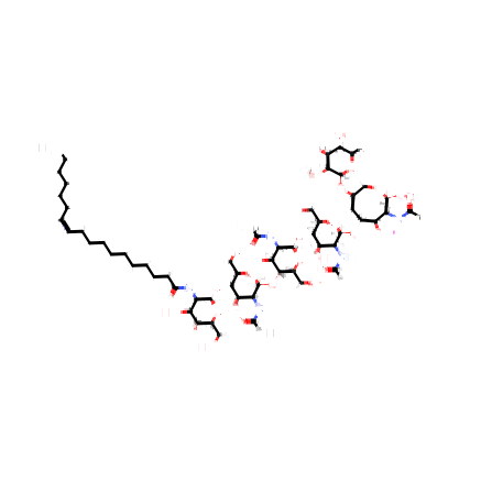 CCCCCC/C=C\CCCCCCCCCC(=O)NC1C(O)[C@H](O)C(CO)O[C@H]1O[C@@H]1C(CO)O[C@@H](O[C@@H]2C(CO)O[C@@H](O[C@@H]3C(CO)O[C@@H](O[C@@H]4CC(O[C@@H]5OC(C)[C@@H](O)C(O)C5OC)CO[C@@H](O)C(NC(C)=O)C4O)C(NC(C)=O)C3O)C(NC(C)=O)C2O)C(NC(C)=O)C1O